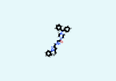 CC(C)Cc1cc(CNCC(=O)N2CCN(C(c3ccccc3)c3ccccc3)CC2)nn1-c1ccccc1